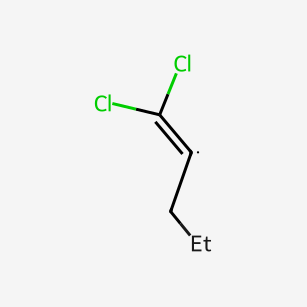 CCC[C]=C(Cl)Cl